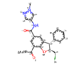 CNC(=O)c1cc(C(=O)Nc2cnn(C)c2)cc2c1O[C@H](CF)[C@H]2c1ccccc1